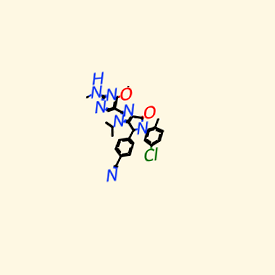 CNc1ncc(-c2nc3c(n2C(C)C)C(c2ccc(C#N)cc2)N(c2cc(Cl)ccc2C)C3=O)c(OC)n1